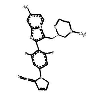 Cc1ccn2c(C[C@H]3CN(C(=O)O)CCO3)c(-c3c(F)cc(N4CC=CC4=C=O)cc3F)nc2c1